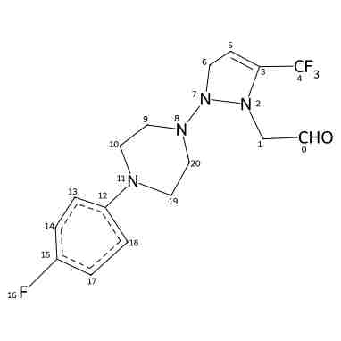 O=CCN1C(C(F)(F)F)=CCN1N1CCN(c2ccc(F)cc2)CC1